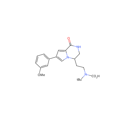 COc1cccc(-c2cc3n(c2)C(CCN(C(=O)O)C(C)(C)C)CNC3=O)c1